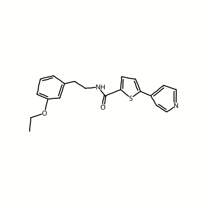 CCOc1cccc(CCNC(=O)c2ccc(-c3ccncc3)s2)c1